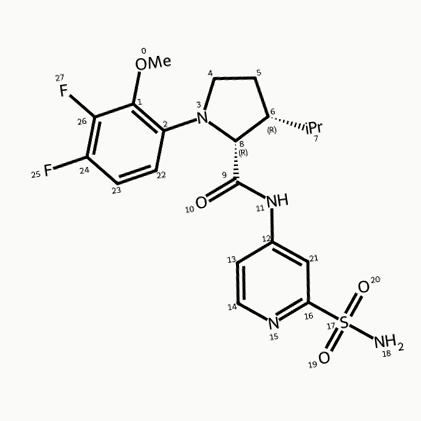 COc1c(N2CC[C@H](C(C)C)[C@@H]2C(=O)Nc2ccnc(S(N)(=O)=O)c2)ccc(F)c1F